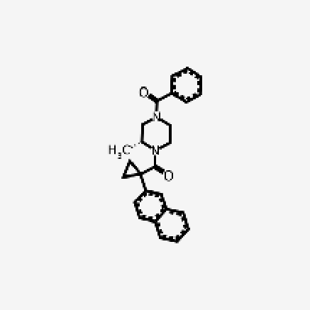 C[C@@H]1CN(C(=O)c2ccccc2)CCN1C(=O)C1(c2ccc3ccccc3c2)CC1